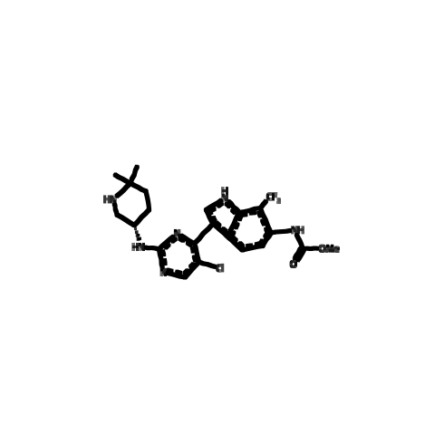 COC(=O)Nc1ccc2c(-c3nc(N[C@H]4CCC(C)(C)NC4)ncc3Cl)c[nH]c2c1C(F)(F)F